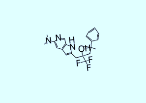 CN(C)c1cc2cc(CC(O)(CC(C)(C)c3ccccc3)C(F)(F)F)[nH]c2cn1